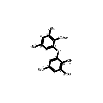 COc1c(Sc2cc(C(C)(C)C)cc(C(C)(C)C)c2O)cc(C(C)(C)C)cc1C(C)(C)C